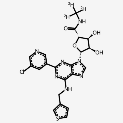 [2H]C([2H])([2H])NC(=O)[C@H]1O[C@@H](n2cnc3c(NCc4ccsc4)nc(-c4cncc(Cl)c4)nc32)[C@H](O)[C@@H]1O